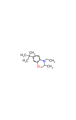 CCN1c2ccc(C(C)(C)C)cc2OCC1C